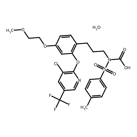 COCCOc1ccc(CCCN(C(=O)O)S(=O)(=O)c2ccc(C)cc2)c(Oc2ncc(C(F)(F)F)cc2Cl)c1.O